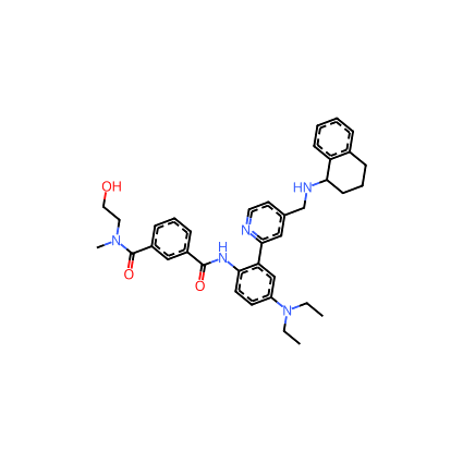 CCN(CC)c1ccc(NC(=O)c2cccc(C(=O)N(C)CCO)c2)c(-c2cc(CNC3CCCc4ccccc43)ccn2)c1